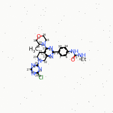 CCNC(=O)Nc1ccc(-c2nc3c(c(N4CCOC[C@@H]4C)n2)CCN(c2ncnc(Cl)n2)C3)cc1